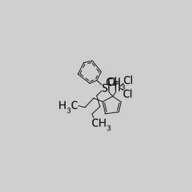 CCCC[Si](C)(c1ccccc1)[C]1([Ti]([Cl])([Cl])[Cl])C=CC=C1CCC